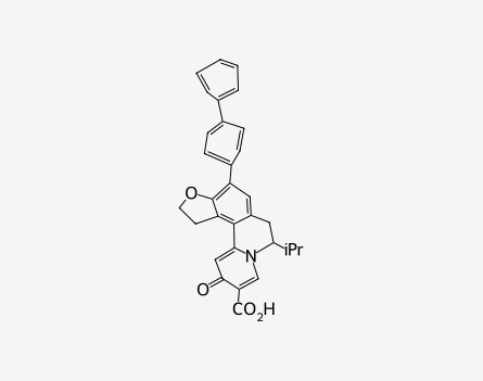 CC(C)C1Cc2cc(-c3ccc(-c4ccccc4)cc3)c3c(c2-c2cc(=O)c(C(=O)O)cn21)CCO3